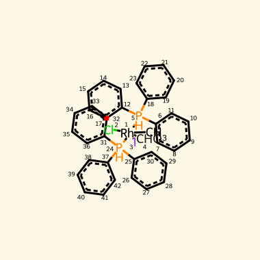 [CH3][Rh]([Cl])([I])([CH]=O)([PH](c1ccccc1)(c1ccccc1)c1ccccc1)[PH](c1ccccc1)(c1ccccc1)c1ccccc1